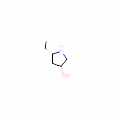 O=C(O)C[C@@H]1C[C@@H](O)CN1